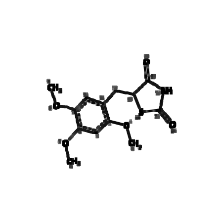 COc1cc(OC)c(OC)cc1CC1SC(=O)NC1=O